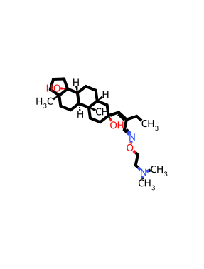 CCC(C=NOCCN(C)C)=C[C@]1(O)CC[C@@]2(C)[C@H](CC[C@@H]3[C@@H]2CC[C@]2(C)CCC[C@]32O)C1